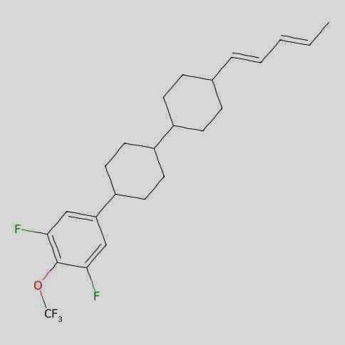 C/C=C/C=C/C1CCC(C2CCC(c3cc(F)c(OC(F)(F)F)c(F)c3)CC2)CC1